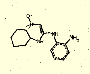 Nc1ccncc1N/C(=C/[N+](=O)[O-])NC1CCCCC1